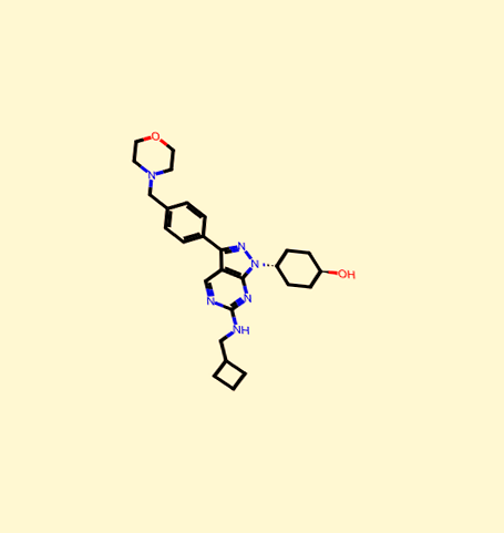 O[C@H]1CC[C@H](n2nc(-c3ccc(CN4CCOCC4)cc3)c3cnc(NCC4CCC4)nc32)CC1